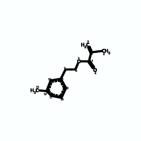 C=C(C)C(=O)OCCc1cccc(C)c1